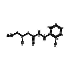 COCC(Cl)CC(=O)NNc1ncccc1Cl